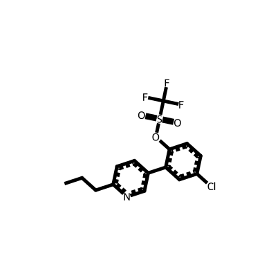 CCCc1ccc(-c2cc(Cl)ccc2OS(=O)(=O)C(F)(F)F)cn1